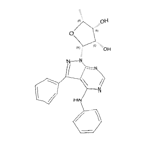 C[C@H]1O[C@@H](n2nc(-c3ccccc3)c3c(Nc4ccccc4)ncnc32)[C@@H](O)[C@H]1O